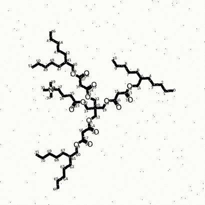 CCCCCC(CCCCC)COC(=O)CC(=O)OCC(COC(=O)CCC[N+](C)(C)C)(COC(=O)CC(=O)OCC(CCCCC)CCCCC)COC(=O)CC(=O)OCC(CCCCC)CCCCC